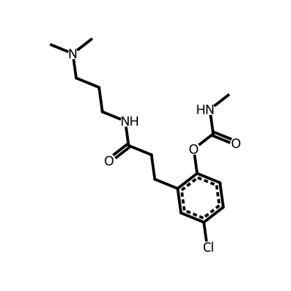 CNC(=O)Oc1ccc(Cl)cc1CCC(=O)NCCCN(C)C